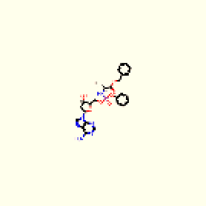 C[C@H](NP(=O)(OCC1O[C@@H](n2cnc3c(N)ncnc32)C[C@H]1O)Oc1ccccc1)C(=O)OCc1ccccc1